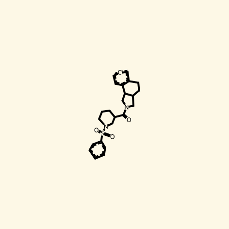 O=C(C1CCCN(S(=O)(=O)c2ccccc2)C1)N1CC2CCc3ccccc3C2C1